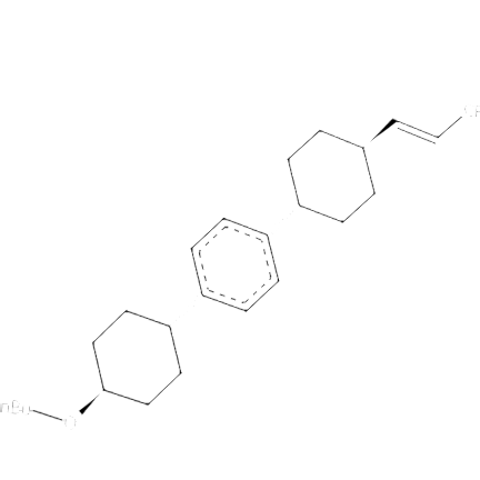 CCCCO[C@H]1CC[C@H](c2ccc([C@H]3CC[C@H](C=CC(F)(F)F)CC3)cc2)CC1